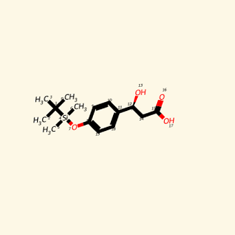 CC(C)(C)[Si](C)(C)Oc1ccc([C@@H](O)CC(=O)O)cc1